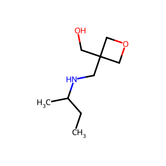 CCC(C)NCC1(CO)COC1